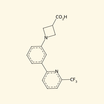 O=C(O)C1CN(c2cccc(-c3cccc(C(F)(F)F)n3)c2)C1